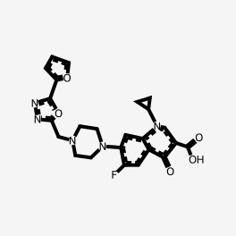 O=C(O)c1cn(C2CC2)c2cc(N3CCN(Cc4nnc(-c5ccco5)o4)CC3)c(F)cc2c1=O